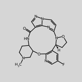 CN1CCC2NC(=O)c3cnn4ccc(nc34)N3OCC[C@@H]3c3cc(F)cnc3OC2C1